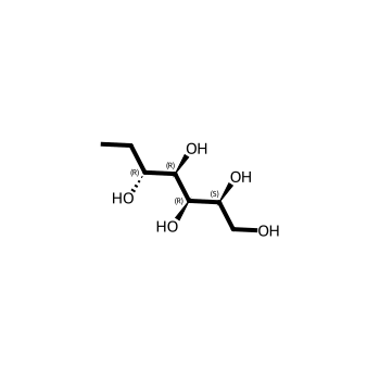 CC[C@@H](O)[C@@H](O)[C@H](O)[C@@H](O)CO